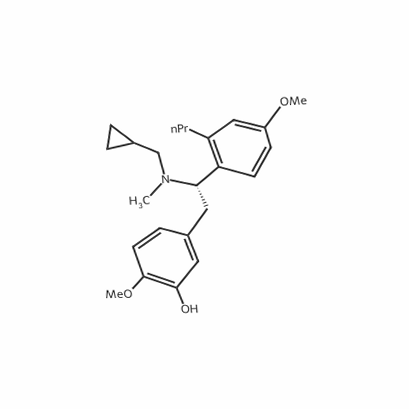 CCCc1cc(OC)ccc1[C@H](Cc1ccc(OC)c(O)c1)N(C)CC1CC1